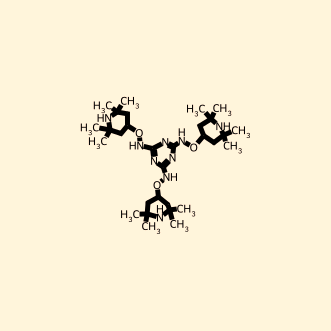 CC1(C)CC(ONc2nc(NOC3CC(C)(C)NC(C)(C)C3)nc(NOC3CC(C)(C)NC(C)(C)C3)n2)CC(C)(C)N1